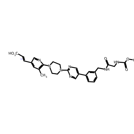 Cc1cc(/C=C/C(=O)O)cnc1N1CCN(c2ncc(-c3cccc(CNC(=O)CNC(=O)OC(C)(C)C)c3)cn2)CC1